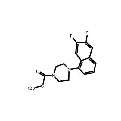 CC(C)(C)OC(=O)N1CCN(c2cccc3cc(F)c(F)cc23)CC1